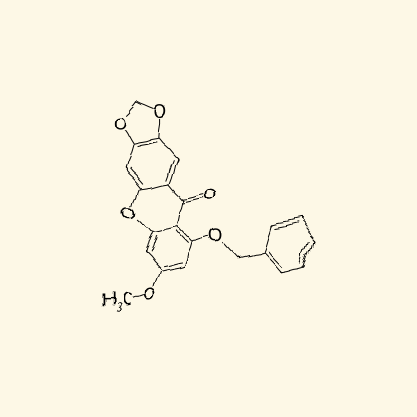 COc1cc(OCc2ccccc2)c2c(=O)c3cc4c(cc3oc2c1)OCO4